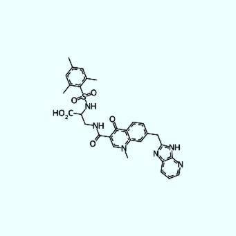 Cc1cc(C)c(S(=O)(=O)NC(CNC(=O)c2cn(C)c3cc(Cc4nc5cccnc5[nH]4)ccc3c2=O)C(=O)O)c(C)c1